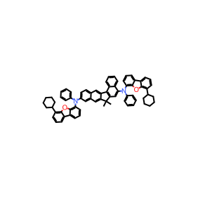 CC1(C)c2cc3cc(N(c4ccccc4)c4cccc5c4oc4c(C6CCCCC6)cccc45)ccc3cc2-c2c1cc(N(c1ccccc1)c1cccc3c1oc1c(C4CCCCC4)cccc13)c1ccccc21